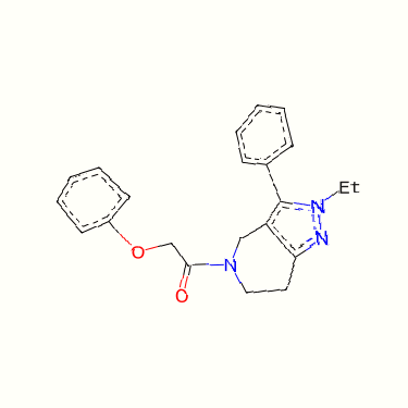 CCn1nc2c(c1-c1ccccc1)CN(C(=O)COc1ccccc1)CC2